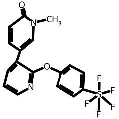 Cn1cc(-c2cccnc2Oc2ccc(S(F)(F)(F)(F)F)cc2)ccc1=O